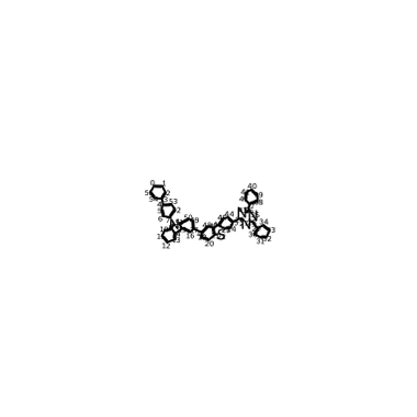 c1ccc(-c2ccc(-n3c4ccccc4c4cc(-c5ccc6sc7cc(-c8nc(-c9ccccc9)nc(-c9ccccc9)n8)ccc7c6c5)ccc43)cc2)cc1